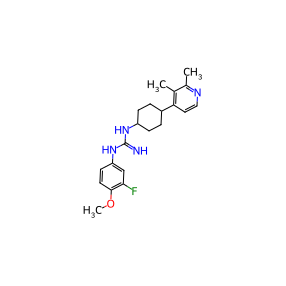 COc1ccc(NC(=N)NC2CCC(c3ccnc(C)c3C)CC2)cc1F